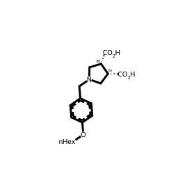 CCCCCCOc1ccc(CN2C[C@H](C(=O)O)[C@H](C(=O)O)C2)cc1